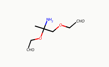 CC(N)(COCC=O)OCC=O